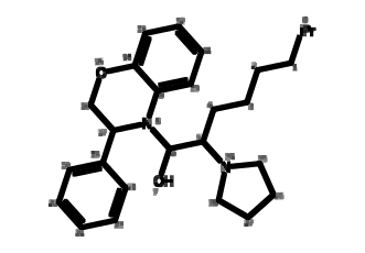 CC(C)CCCCC(C(O)N1c2ccccc2OCC1c1ccccc1)N1CCCC1